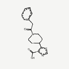 O=C(O)c1ncsc1C1CCN(C(=O)Cc2ccccc2)CC1